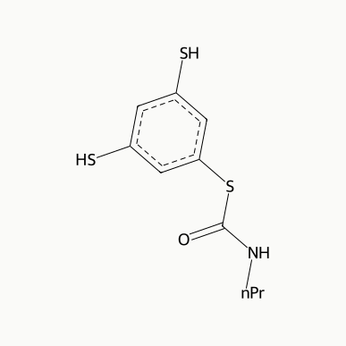 CCCNC(=O)Sc1cc(S)cc(S)c1